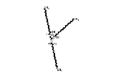 CCC=CCC=CCC=CCCCCCCC(O)C(=O)OCC(COC(=O)C(O)CCCCCCC=CCC=CCC=CCC)OC(=O)C(O)CCCCCCC=CCC=CCC=CCC